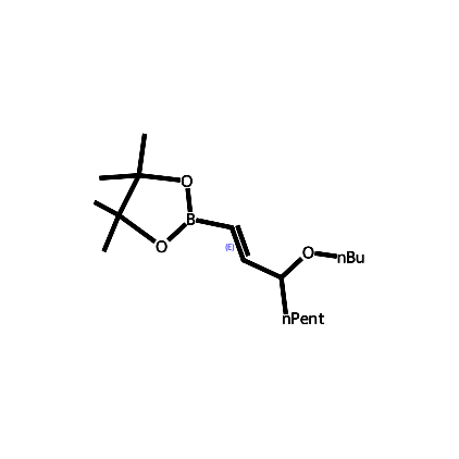 CCCCCC(/C=C/B1OC(C)(C)C(C)(C)O1)OCCCC